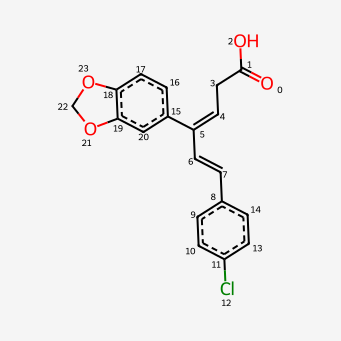 O=C(O)C/C=C(/C=C/c1ccc(Cl)cc1)c1ccc2c(c1)OCO2